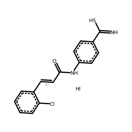 I.N=C(S)c1ccc(NC(=O)/C=C/c2ccccc2Cl)cc1